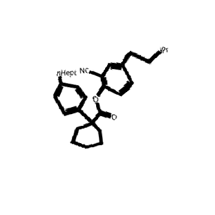 CCCCCCCc1ccc(C2(C(=O)Oc3ccc(CCC(C)C)cc3C#N)CCCCC2)cc1